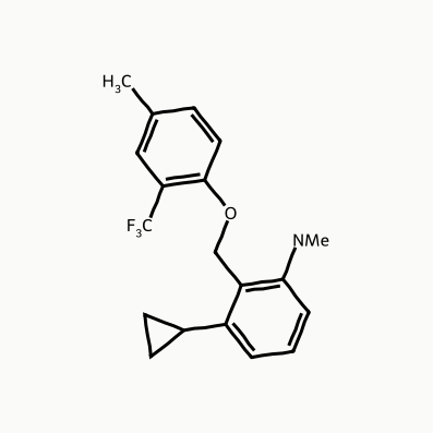 CNc1cccc(C2CC2)c1COc1ccc(C)cc1C(F)(F)F